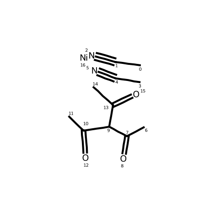 CC#N.CC#N.CC(=O)C(C(C)=O)C(C)=O.[Ni]